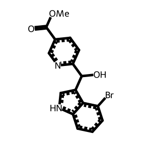 COC(=O)c1ccc(C(O)c2c[nH]c3cccc(Br)c23)nc1